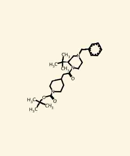 CC(C)(C)OC(=O)N1CCC(CC(=O)N2CCN(Cc3ccccc3)C[C@@H]2C(C)(C)C)CC1